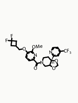 COc1nc(C(=O)N2CC[C@]3(c4cc(C(F)(F)F)ccn4)OCOC3C2)ccc1OCC1CC(F)(F)C1